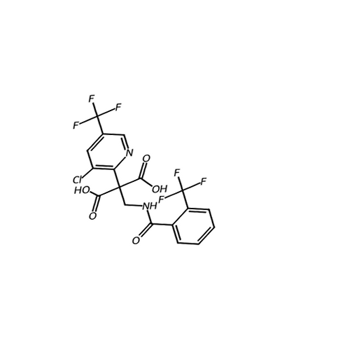 O=C(NCC(C(=O)O)(C(=O)O)c1ncc(C(F)(F)F)cc1Cl)c1ccccc1C(F)(F)F